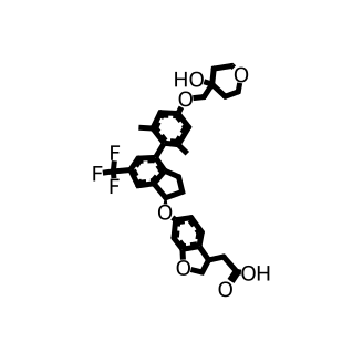 Cc1cc(OCC2(O)CCOCC2)cc(C)c1-c1cc(C(F)(F)F)cc2c1CC[C@H]2Oc1ccc2c(c1)OCC2CC(=O)O